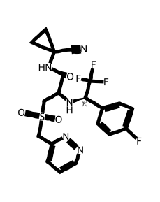 N#CC1(NC(=O)C(CS(=O)(=O)Cc2cccnn2)N[C@H](c2ccc(F)cc2)C(F)(F)F)CC1